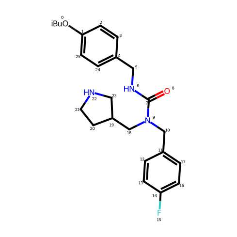 CC(C)COc1ccc(CNC(=O)N(Cc2ccc(F)cc2)CC2CCNC2)cc1